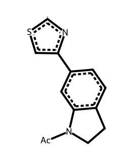 CC(=O)N1CCc2ccc(-c3cs[c]n3)cc21